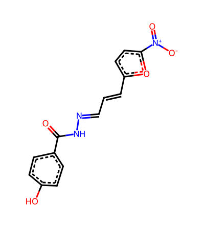 O=C(N/N=C/C=C/c1ccc([N+](=O)[O-])o1)c1ccc(O)cc1